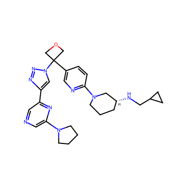 c1cc(N2CCC[C@@H](NCC3CC3)C2)ncc1C1(n2cc(-c3cncc(N4CCCC4)n3)nn2)COC1